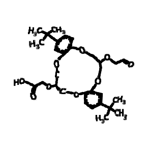 CC(C)(C)c1ccc2c(c1)OCC(OCC=O)COc1ccc(C(C)(C)C)cc1OCC(OCC(=O)O)CO2